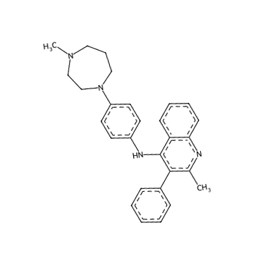 Cc1nc2ccccc2c(Nc2ccc(N3CCCN(C)CC3)cc2)c1-c1ccccc1